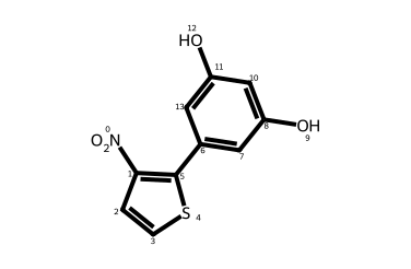 O=[N+]([O-])c1ccsc1-c1cc(O)cc(O)c1